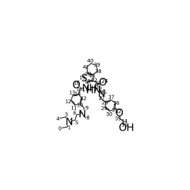 CCN(CC)CCN(C)Cc1cccc(C(=O)Nc2sc3c(c2C(=O)N/N=C/c2ccc(OCCO)cc2)CCCC3)c1